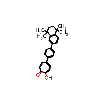 CC1(C)CCC(C)(C)c2cc(-c3ccc(-c4ccc(O)c(=O)cc4)cc3)ccc21